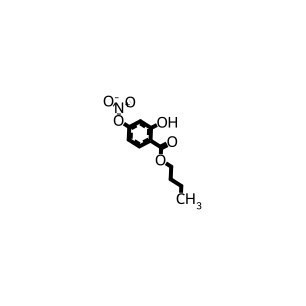 CCCCOC(=O)c1ccc(O[N+](=O)[O-])cc1O